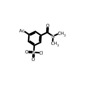 CC(=O)c1cc(C(=O)N(C)C)cc(S(=O)(=O)Cl)c1